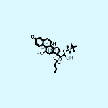 CCCC(=O)O[C@]1(C(=O)C(O)O[Si](C)(C)C(C)(C)C)CC[C@H]2[C@@H]3CCC4=CC(=O)C=C[C@]4(C)[C@H]3C(O)C[C@@]21C